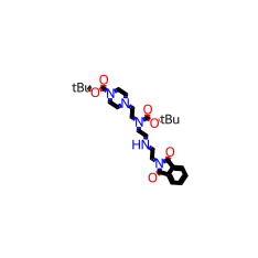 CC(C)(C)OC(=O)N(CCNCCN1C(=O)c2ccccc2C1=O)CCN1CCN(C(=O)OC(C)(C)C)CC1